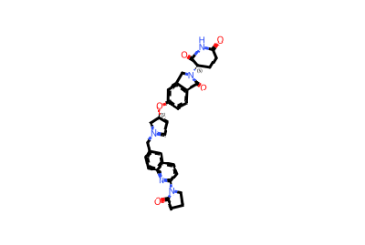 O=C1CC[C@H](N2Cc3cc(O[C@H]4CCN(Cc5ccc6nc(N7CCCC7=O)ccc6c5)C4)ccc3C2=O)C(=O)N1